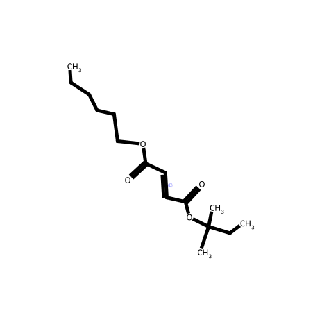 CCCCCCOC(=O)/C=C/C(=O)OC(C)(C)CC